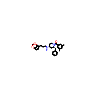 Cc1cc(C)cc(C(=O)N2CC[C@H](NCCCc3ccc4cc3OCO4)C[C@@H]2Cc2ccccc2)c1